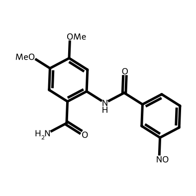 COc1cc(NC(=O)c2cccc(N=O)c2)c(C(N)=O)cc1OC